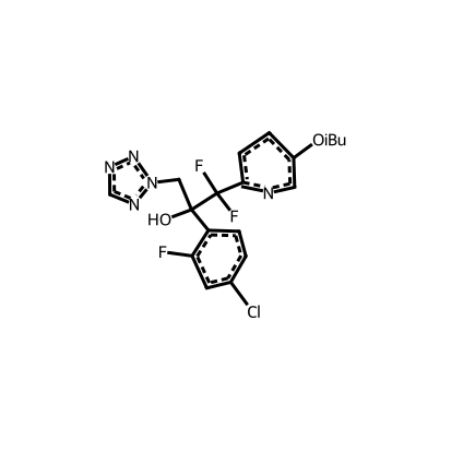 CC(C)COc1ccc(C(F)(F)C(O)(Cn2ncnn2)c2ccc(Cl)cc2F)nc1